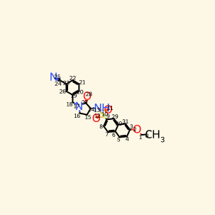 CCOc1ccc2ccc(S(=O)(=O)N[C@H]3CCN(Cc4cccc(C#N)c4)C3=O)cc2c1